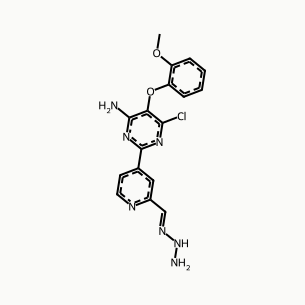 COc1ccccc1Oc1c(N)nc(-c2ccnc(C=NNN)c2)nc1Cl